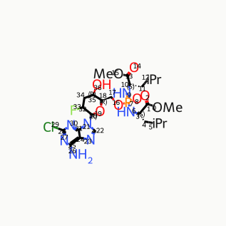 COC(=O)[C@H](CC(C)C)NP(=O)(N[C@@H](CC(C)C)C(=O)OC)OC[C@H]1O[C@@H](n2cnc3c(N)nc(Cl)nc32)C(F)C[C@H]1O